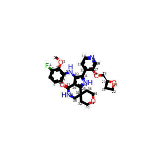 COc1c(F)cccc1Nc1c(-c2ccncc2OC[C@@H]2CCO2)[nH]c2c1C(=O)NCC21CCOCC1